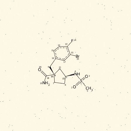 CS(=O)(=O)N[C@H]1CC[C@](Cc2ccc(F)c(Br)c2)(C(N)=O)C1